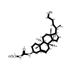 CCCCCCCCOC(=O)O[C@H]1CC[C@@]2(C)C(=CC[C@H]3[C@@H]4CC[C@H]([C@H](C)CCCC(C)C)[C@@]4(C)CC[C@@H]32)C1